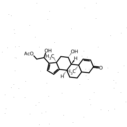 CC(=O)OCC(O)C1=CC=C2[C@@H]3CCC4CC(=O)C=C[C@]4(C)[C@H]3[C@@H](O)C[C@]12C